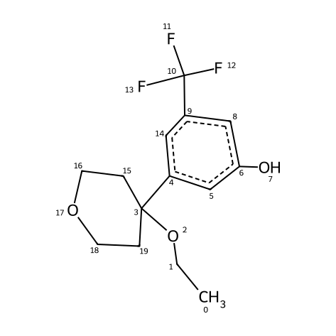 CCOC1(c2cc(O)cc(C(F)(F)F)c2)CCOCC1